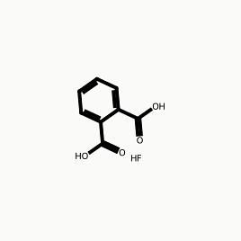 F.O=C(O)c1ccccc1C(=O)O